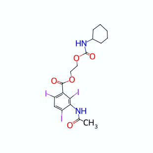 CC(=O)Nc1c(I)cc(I)c(C(=O)OCCOC(=O)NC2CCCCC2)c1I